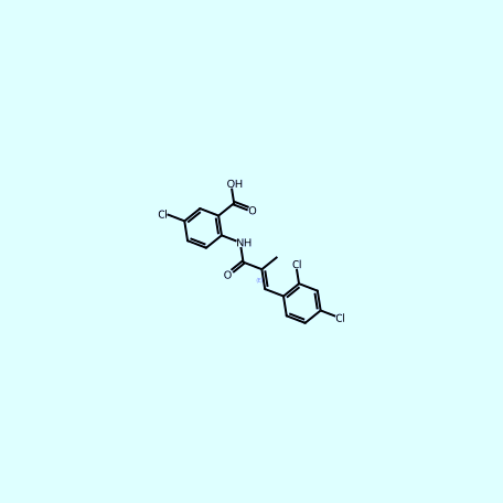 C/C(=C\c1ccc(Cl)cc1Cl)C(=O)Nc1ccc(Cl)cc1C(=O)O